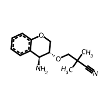 CC(C)(C#N)CO[C@H]1COc2ccccc2[C@@H]1N